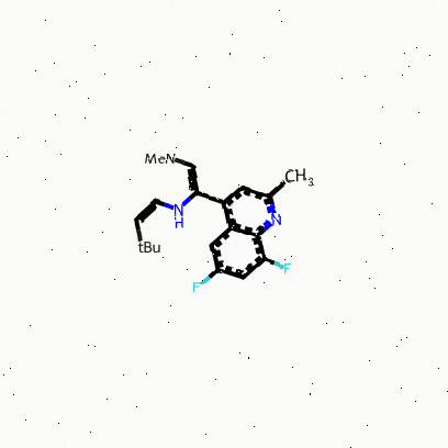 CN/C=C(\N/C=C\C(C)(C)C)c1cc(C)nc2c(F)cc(F)cc12